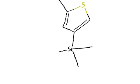 Cc1cc([Si](C)(C)C)cs1